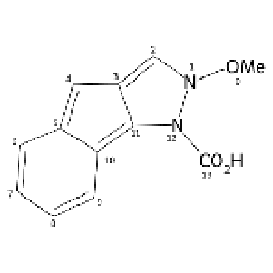 COn1cc2cc3ccccc3c-2n1C(=O)O